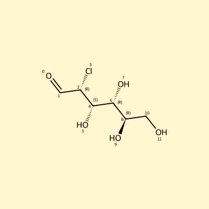 O=C[C@H](Cl)[C@@H](O)[C@H](O)[C@H](O)CO